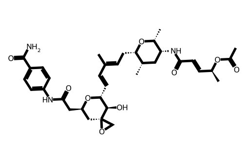 CC(=O)O[C@@H](C)C=CC(=O)N[C@@H]1C[C@H](C)[C@H](CC=C(C)C=C[C@H]2O[C@H](CC(=O)Nc3ccc(C(N)=O)cc3)C[C@@]3(CO3)[C@@H]2O)O[C@@H]1C